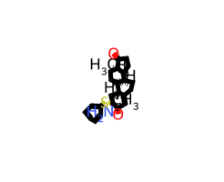 C[C@]12CC(N)(Sc3ccccc3)C(=O)C=C1CC[C@@H]1[C@@H]2CC[C@]2(C)C(=O)CC[C@@H]12